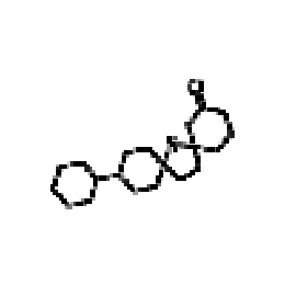 O=C1CCCC2(CCC3(CCC(C4CCCCC4)CC3)S2)C1